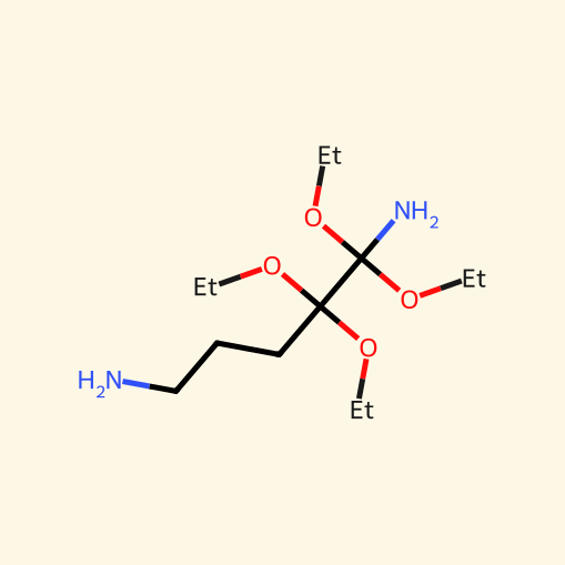 CCOC(N)(OCC)C(CCCN)(OCC)OCC